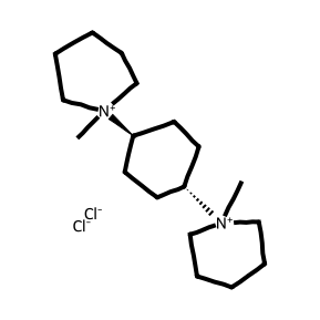 C[N+]1([C@H]2CC[C@H]([N+]3(C)CCCCC3)CC2)CCCCC1.[Cl-].[Cl-]